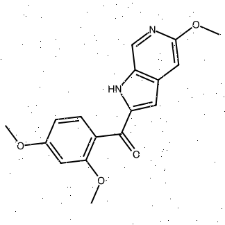 COc1ccc(C(=O)c2cc3cc(OC)ncc3[nH]2)c(OC)c1